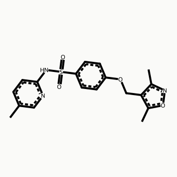 Cc1ccc(NS(=O)(=O)c2ccc(OCc3c(C)noc3C)cc2)nc1